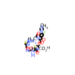 CC1COc2c(N3CCN(C)CC3)c(F)cc3c(=O)c(C(=O)OCC4=C(C(=O)O)N5C(=O)[C@@H](NC(=O)/C=N\OCc6csc(N)n6)[C@H]5SC4)cn1c23